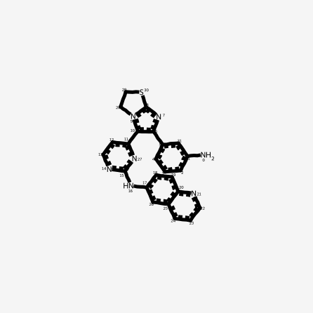 Nc1cccc(-c2nc3n(c2-c2ccnc(Nc4ccc5ncccc5c4)n2)CCS3)c1